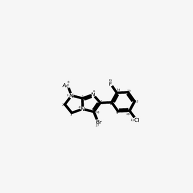 CC(=O)N1CCn2c1nc(-c1cc(Cl)ccc1F)c2Br